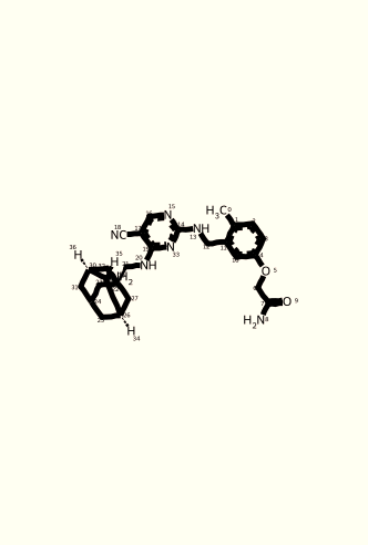 Cc1ccc(OCC(N)=O)cc1CNc1ncc(C#N)c(NC[C@]23CC4C[C@H](C2)[C@@H](N)[C@@H](C4)C3)n1